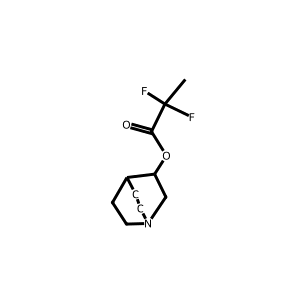 CC(F)(F)C(=O)OC1CN2CCC1CC2